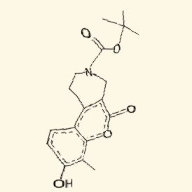 Cc1c(O)ccc2c3c(c(=O)oc12)CN(C(=O)OC(C)(C)C)CC3